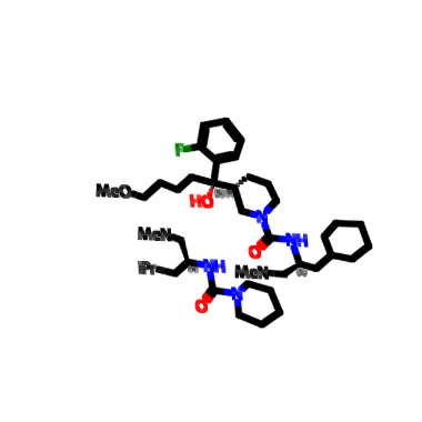 CNC[C@H](CC(C)C)NC(=O)N1CCCCC1.CNC[C@H](CC1CCCCC1)NC(=O)N1CCC[C@@H]([C@@](O)(CCCCOC)c2ccccc2F)C1